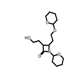 O=C1C(CCO)C(CCOC2CCCCO2)N1C1CCCCO1